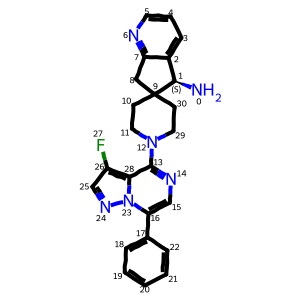 N[C@@H]1c2cccnc2CC12CCN(c1ncc(-c3ccccc3)n3ncc(F)c13)CC2